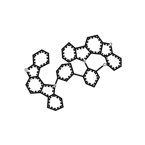 N#Cc1cccc(-c2cccc(-n3c4ccccc4c4ccc5oc6ccccc6c5c43)c2)c1-n1c2ccccc2c2ccc3oc4ccccc4c3c21